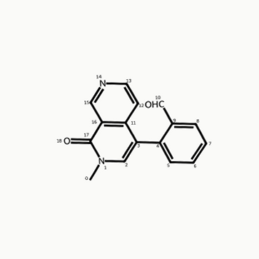 Cn1cc(-c2ccccc2C=O)c2ccncc2c1=O